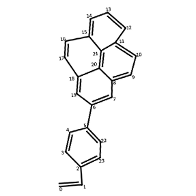 C=Cc1ccc(-c2cc3ccc4cccc5ccc(c2)c3c45)cc1